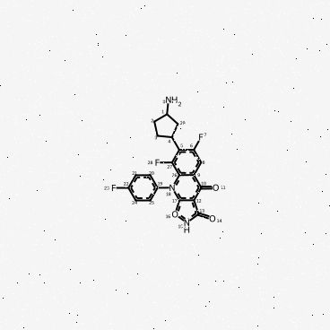 NC1CCC(c2c(F)cc3c(=O)c4c(=O)[nH]oc4n(-c4ccc(F)cc4)c3c2F)C1